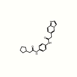 O=C(Cc1ccc2nccn2c1)Nc1ccc(NC(=O)CC2CCCC2)cc1